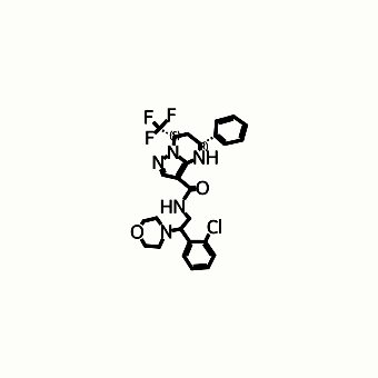 O=C(NCC(c1ccccc1Cl)N1CCOCC1)c1cnn2c1N[C@@H](c1ccccc1)C[C@H]2C(F)(F)F